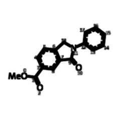 COC(=O)c1ccc2c(c1)C(=O)N(c1ccccc1)C2